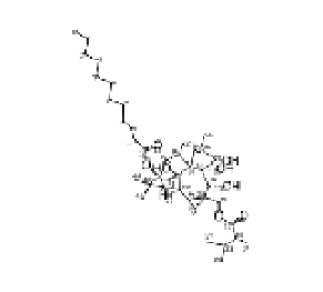 CCCCCCCCCCCC(=O)O[C@@]12C[C@@H](C)[C@]34C=C(C)[C@H](O)[C@@]3(O)[C@H](O)C3(COC(=O)C(C)C(C)C)OC3[C@H](C4O)[C@@H]1C2(C)C